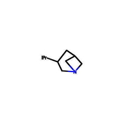 CC(C)C1CC2CN(C2)C1